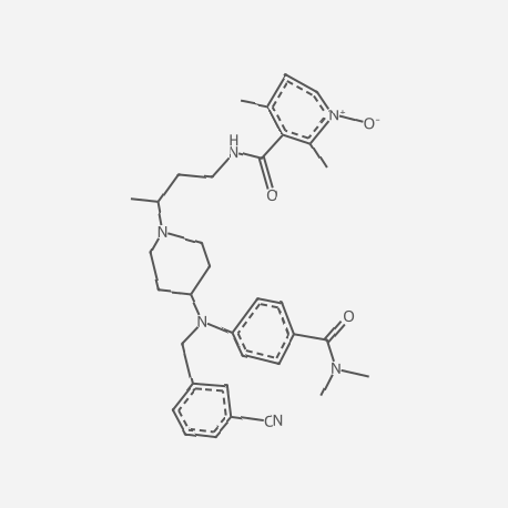 Cc1cc[n+]([O-])c(C)c1C(=O)NCCC(C)N1CCC(N(Cc2cccc(C#N)c2)c2ccc(C(=O)N(C)C)cc2)CC1